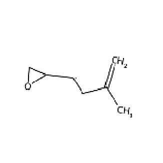 C=C(C)C[CH]C1CO1